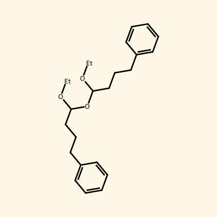 CCOC(CCCc1ccccc1)OC(CCCc1ccccc1)OCC